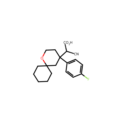 N#CC(C(=O)O)C1(c2ccc(F)cc2)CCOC2(CCCCC2)C1